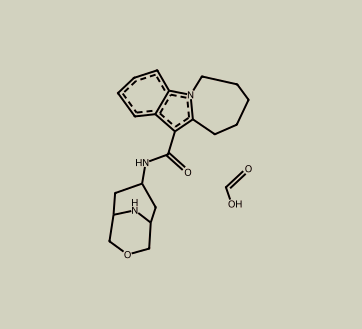 O=C(NC1CC2COCC(C1)N2)c1c2n(c3ccccc13)CCCCC2.O=CO